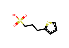 O=S(=O)(O)CCCc1cccs1